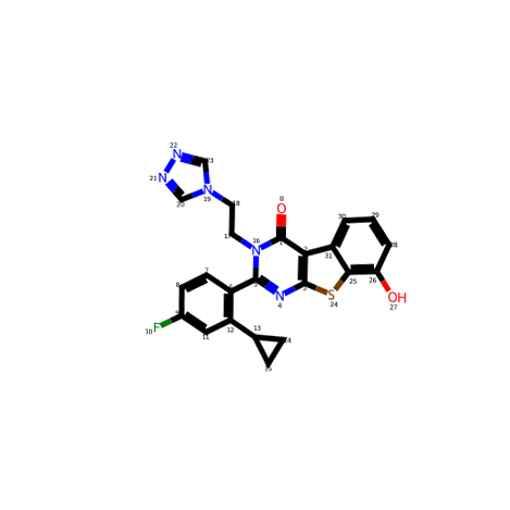 O=c1c2c(nc(-c3ccc(F)cc3C3CC3)n1CCn1cnnc1)sc1c(O)cccc12